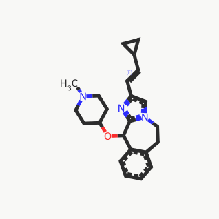 CN1CCC(OC2c3ccccc3CCn3cc(/C=C/C4CC4)nc32)CC1